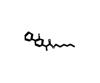 CCCCCCOC(=O)C(C)c1ccc(-c2ccccc2)c(F)c1